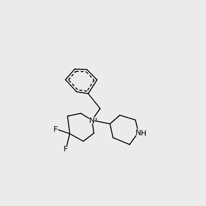 FC1(F)CC[N+](Cc2ccccc2)(C2CCNCC2)CC1